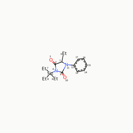 CCC1C(=O)N([Si](CC)(CC)CC)C(=O)N1c1ccccc1